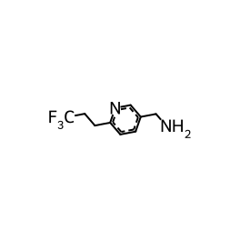 NCc1ccc(CCC(F)(F)F)nc1